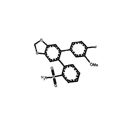 COc1cc(-c2cc3c(cc2-c2ccccc2S(N)(=O)=O)OCO3)ccc1F